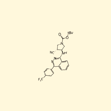 CC(C)(C)OC(=O)N1C[C@@H](C#N)[C@H](Nc2nnc(-c3ccc(C(F)(F)F)cc3)c3ccccc23)C1